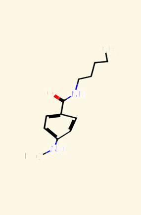 CCCCCNC(=O)c1ccc(NC)cc1